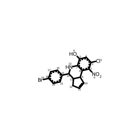 O=[N+]([O-])c1c(Cl)cc(O)c2c1C1C=CCC1C(c1ccc(Br)cc1)N2